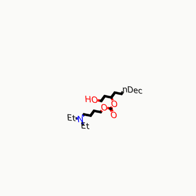 CCCCCCCCCCCCC(CCO)OC(=O)OCCCCN(CC)CC